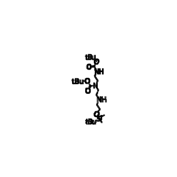 CC(C)(C)OC(=O)NCCN(CCNCCO[Si](C)(C)C(C)(C)C)C(=O)OC(C)(C)C